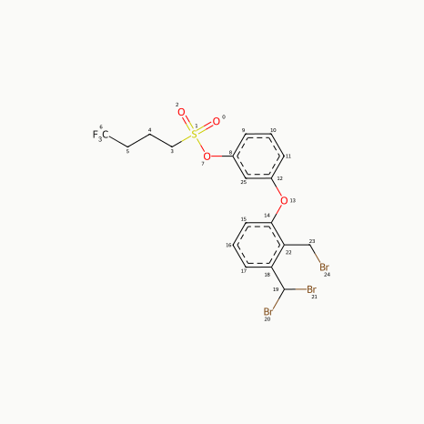 O=S(=O)(CCCC(F)(F)F)Oc1cccc(Oc2cccc(C(Br)Br)c2CBr)c1